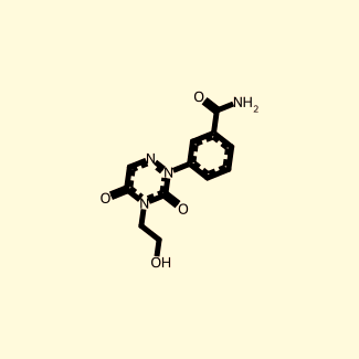 NC(=O)c1cccc(-n2ncc(=O)n(CCO)c2=O)c1